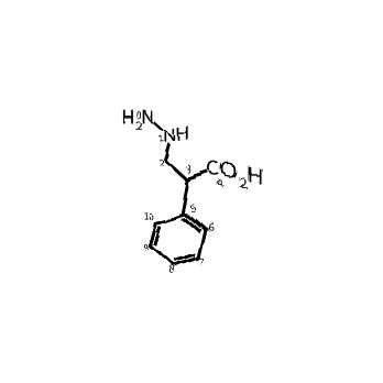 NNCC(C(=O)O)c1ccccc1